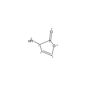 CCCC1C=COC1=O